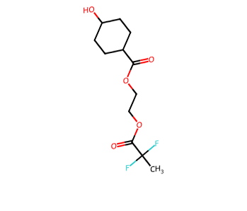 CC(F)(F)C(=O)OCCOC(=O)C1CCC(O)CC1